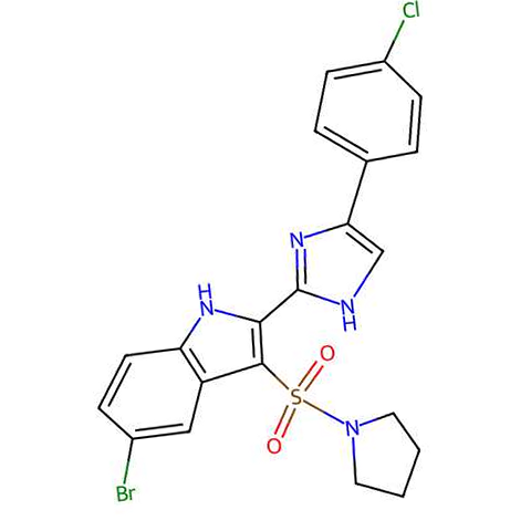 O=S(=O)(c1c(-c2nc(-c3ccc(Cl)cc3)c[nH]2)[nH]c2ccc(Br)cc12)N1CCCC1